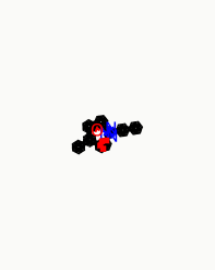 c1ccc(-c2ccc(-c3nc(-c4ccccc4)nc(-c4cccc5c4oc4c(-c6cc(-c7ccccc7)cc(-c7ccccc7)c6)cccc45)n3)cc2)cc1